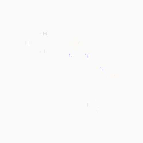 CC(C)(C)c1ccc2oc(N3CCCN(C(=O)C4CCC(F)(F)CC4)CC3)nc2c1